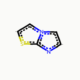 [c]1cn2c[c]sc2n1